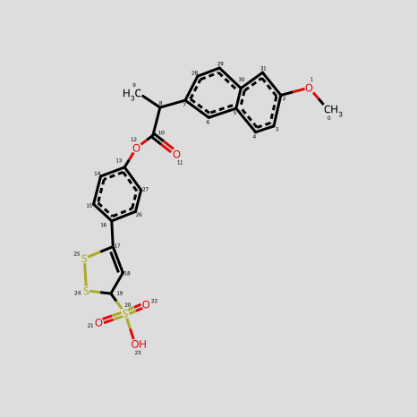 COc1ccc2cc(C(C)C(=O)Oc3ccc(C4=CC(S(=O)(=O)O)SS4)cc3)ccc2c1